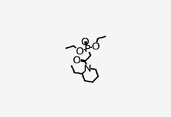 CCOP(=O)(CC(=O)N1CCCCC1CC)OCC